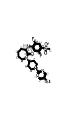 CCc1cnc(N2CCC(N3CCCC[C@H](Nc4cc(F)c(S(C)(=O)=O)cc4F)C3=O)CC2)nc1